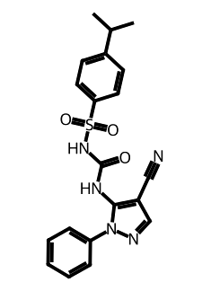 CC(C)c1ccc(S(=O)(=O)NC(=O)Nc2c(C#N)cnn2-c2ccccc2)cc1